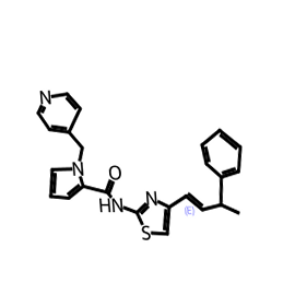 CC(/C=C/c1csc(NC(=O)c2cccn2Cc2ccncc2)n1)c1ccccc1